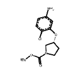 CC(C)(C)OC(=O)N1CC[C@@H](Oc2cc(N)ccc2Cl)C1